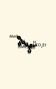 CCOC(=O)CNC(=O)N1CCc2c(-c3cnc(-c4cnc(N(Cc5ccc(OC)cc5)Cc5ccc(OC)cc5)nc4)nc3)nc(N3CCOCC3)nc21